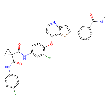 CNC(=O)c1cccc(-c2cc3nccc(Oc4ccc(NC(=O)C5(C(=O)Nc6ccc(F)cc6)CC5)cc4F)c3s2)c1